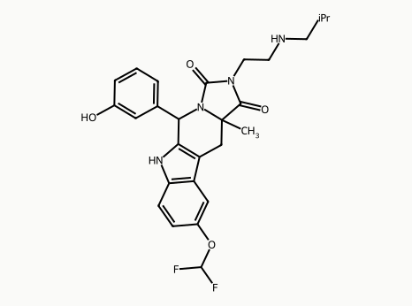 CC(C)CNCCN1C(=O)N2C(c3cccc(O)c3)c3[nH]c4ccc(OC(F)F)cc4c3CC2(C)C1=O